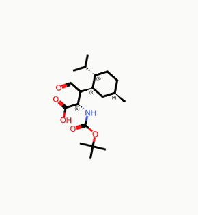 CC(C)[C@@H]1CC[C@@H](C)C[C@H]1C(C=O)[C@H](NC(=O)OC(C)(C)C)C(=O)O